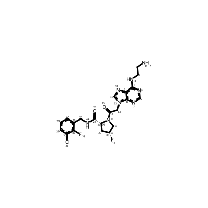 NCCNc1ncnc2c1ncn2CC(=O)N1C[C@H](F)C[C@@H]1C(=O)NCc1cccc(Cl)c1F